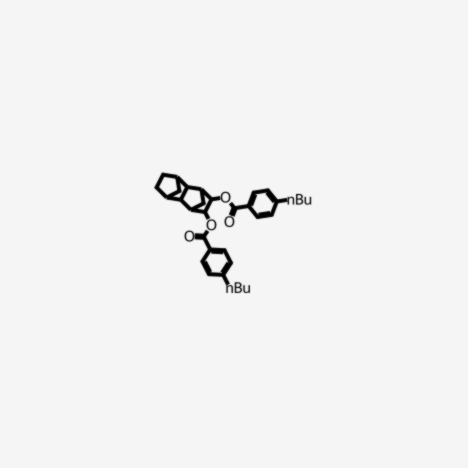 CCCCc1ccc(C(=O)OC2C3CC(C2OC(=O)c2ccc(CCCC)cc2)C2C4CCC(C4)C32)cc1